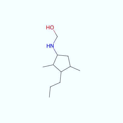 CCCC1C(C)CC(NCO)C1C